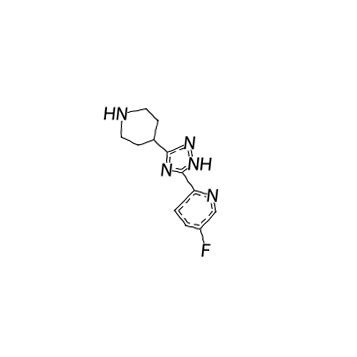 Fc1ccc(-c2nc(C3CCNCC3)n[nH]2)nc1